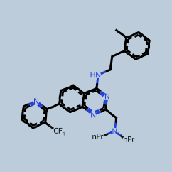 CCCN(CCC)Cc1nc(NCCc2ccccc2C)c2ccc(-c3ncccc3C(F)(F)F)cc2n1